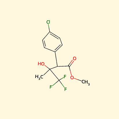 COC(=O)C(c1ccc(Cl)cc1)C(C)(O)C(F)(F)F